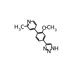 COc1cc(-c2c[nH]nn2)ccc1-c1ccnc(C)c1